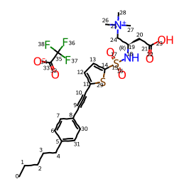 CCCCCc1ccc(C#Cc2ccc(S(=O)(=O)N[C@H](CC(=O)O)C[N+](C)(C)C)s2)cc1.O=C([O-])C(F)(F)F